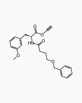 C#COC(=O)[C@H](Cc1cccc(OC)c1)NC(=O)CCCOCc1ccccc1